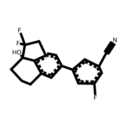 N#Cc1cc(F)cc(-c2cc3c4c(c2)CC(F)(F)C4(O)CCC3)c1